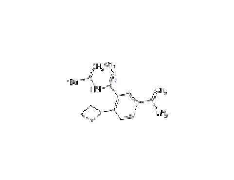 C=C(CCCC)N/C(=C\C)c1cc(C(=C)C)ccc1C1CCC1